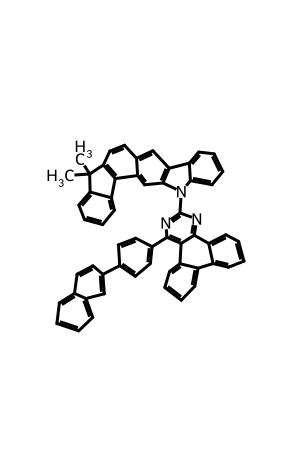 CC1(C)c2ccccc2-c2c1ccc1cc3c4ccccc4n(-c4nc(-c5ccc(-c6ccc7ccccc7c6)cc5)c5c6ccccc6c6ccccc6c5n4)c3cc21